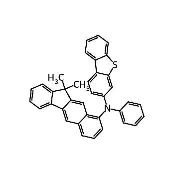 CC1(C)c2ccccc2-c2cc3cccc(N(c4ccccc4)c4ccc5c(c4)sc4ccccc45)c3cc21